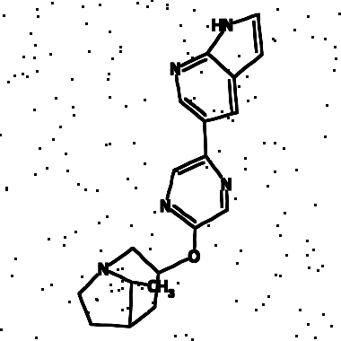 CC1C2CCN1CC(Oc1cnc(-c3cnc4[nH]ccc4c3)cn1)C2